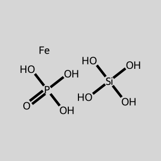 O=P(O)(O)O.O[Si](O)(O)O.[Fe]